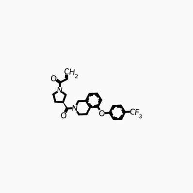 C=CC(=O)N1CC[C@H](C(=O)N2CCc3c(cccc3Oc3ccc(C(F)(F)F)cc3)C2)C1